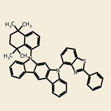 CC1(C)CCC(C)(C)c2c(-n3c4ccccc4c4cc5c6ccccc6n(-c6cccc7sc(-c8ccccc8)nc67)c5cc43)cccc21